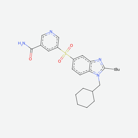 CC(C)(C)c1nc2cc(S(=O)(=O)c3cncc(C(N)=O)c3)ccc2n1CC1CCCCC1